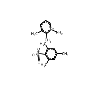 Cc1cc(C)c(S(=O)(=O)[O-])c(C)c1.Cc1ccc[n+](N)c1C